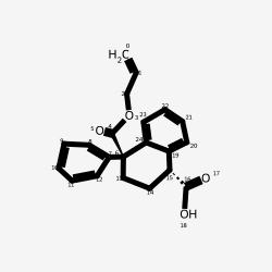 C=CCOC(=O)[C@]1(c2ccccc2)CC[C@@H](C(=O)O)c2ccccc21